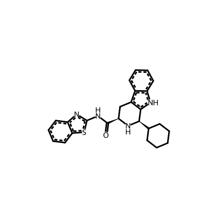 O=C(Nc1nc2ccccc2s1)[C@H]1Cc2c([nH]c3ccccc23)[C@@H](C2CCCCC2)N1